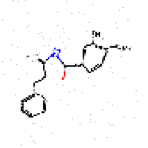 COc1ccc(C(=O)NC(C)CCc2ccccc2)cc1C